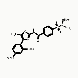 CCCCCCN(C)S(=O)(=O)c1ccc(C(=O)Nc2nc(-c3ccc(OC)cc3OC)c(C)s2)cc1